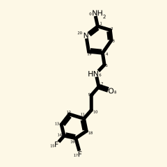 Nc1ccc(CNC(=O)[CH]Cc2ccc(F)c(F)c2)cn1